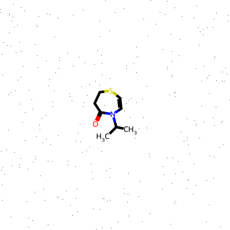 CC(C)N1C=CSCCC1=O